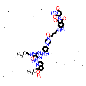 C=CCNC(=O)c1cnc(Nc2ccc(N3CCN(C(=O)CCCCNc4ccc5c(c4)C(=O)N(C4CCC(=O)NC4=O)C5=O)CC3)cc2)nc1Nc1ccc2c(n1)[C@@](O)(CC)CC2